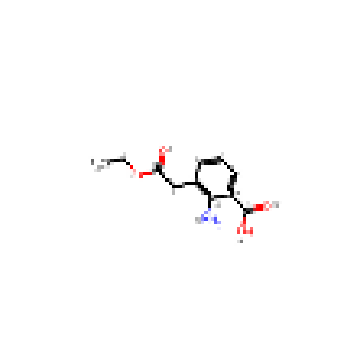 CCOC(=O)Cc1cccc(C(=O)O)c1N